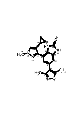 Cc1noc(C)c1-c1cc(-c2nn(C)cc2C2CC2)c2[nH]c(=O)[nH]c2c1